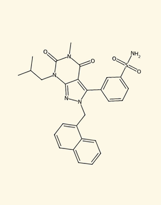 CC(C)Cn1c(=O)n(C)c(=O)c2c(-c3cccc(S(N)(=O)=O)c3)n(Cc3cccc4ccccc34)nc21